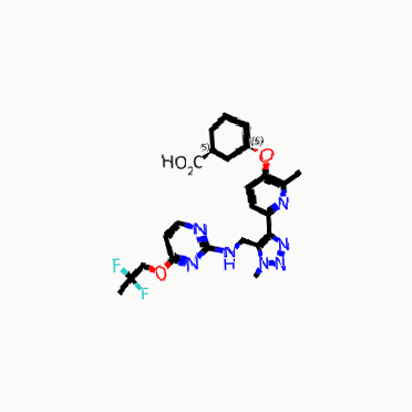 Cc1nc(-c2nnn(C)c2CNc2nccc(OCC(C)(F)F)n2)ccc1O[C@H]1CCC[C@H](C(=O)O)C1